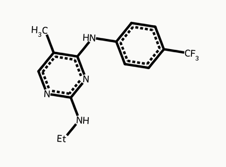 CCNc1ncc(C)c(Nc2ccc(C(F)(F)F)cc2)n1